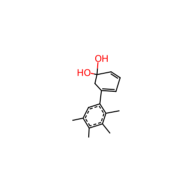 Cc1cc(C2=CC=CC(O)(O)C2)c(C)c(C)c1C